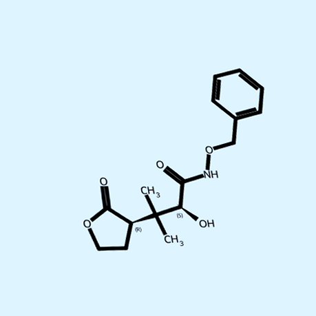 CC(C)([C@H](O)C(=O)NOCc1ccccc1)[C@H]1CCOC1=O